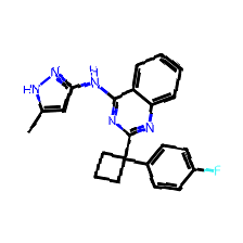 Cc1cc(Nc2nc(C3(c4ccc(F)cc4)CCC3)nc3ccccc23)n[nH]1